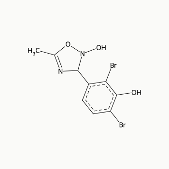 CC1=NC(c2ccc(Br)c(O)c2Br)N(O)O1